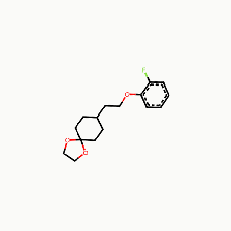 Fc1ccccc1OCCC1CCC2(CC1)OCCO2